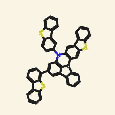 c1ccc2c(c1)B1c3cc4sc5ccccc5c4cc3N(c3ccc4sc5ccccc5c4c3)c3cc(-c4cccc5c4sc4ccccc45)cc-2c31